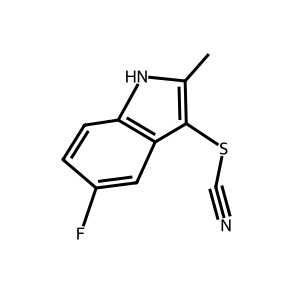 Cc1[nH]c2ccc(F)cc2c1SC#N